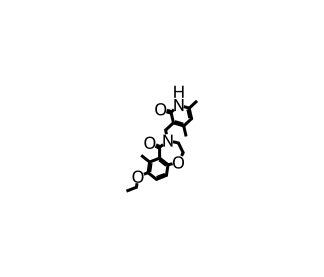 CCOc1ccc2c(c1C)C(=O)N(Cc1c(C)cc(C)[nH]c1=O)CCO2